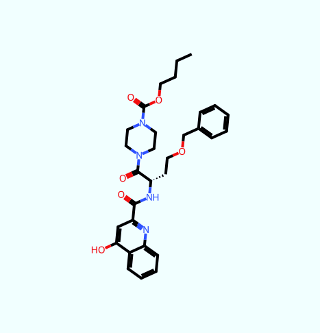 CCCCOC(=O)N1CCN(C(=O)[C@H](CCOCc2ccccc2)NC(=O)c2cc(O)c3ccccc3n2)CC1